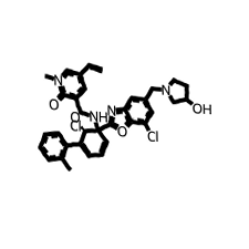 C=Cc1cc(C(=O)NC2(c3nc4cc(CN5CCC(O)C5)cc(Cl)c4o3)C=CC=C(c3ccccc3C)[C@H]2Cl)c(=O)n(C)c1